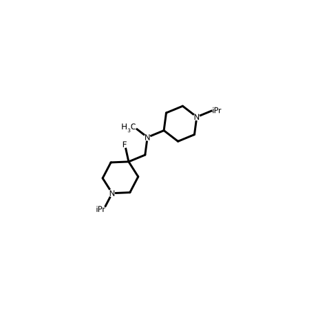 CC(C)N1CCC(N(C)CC2(F)CCN(C(C)C)CC2)CC1